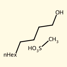 CCCCCCCCCCO.CS(=O)(=O)O